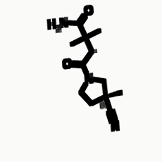 CC(C)([CH]C(=O)N1CC[C@@](C)(C#N)C1)C(N)=O